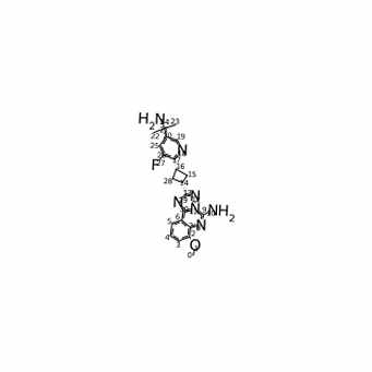 COc1cccc2c1nc(N)n1nc([C@H]3C[C@@H](c4ncc(C(C)(C)N)cc4F)C3)nc21